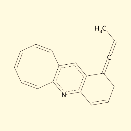 CC=C=C1CC=Cc2nc3c(cc21)C=CC=CC=C3